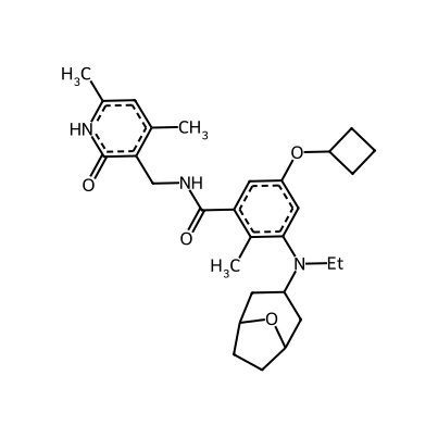 CCN(c1cc(OC2CCC2)cc(C(=O)NCc2c(C)cc(C)[nH]c2=O)c1C)C1CC2CCC(C1)O2